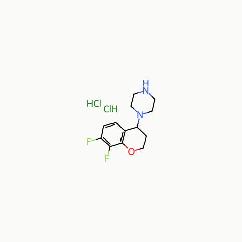 Cl.Cl.Fc1ccc2c(c1F)OCCC2N1CCNCC1